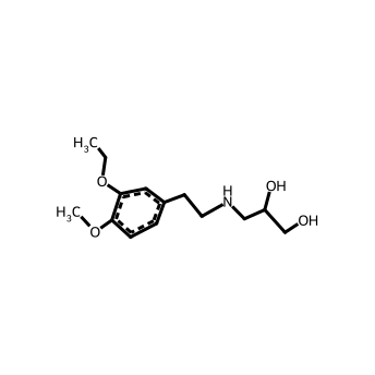 CCOc1cc(CCNCC(O)CO)ccc1OC